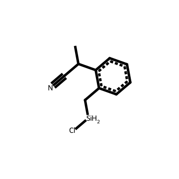 CC(C#N)c1ccccc1C[SiH2]Cl